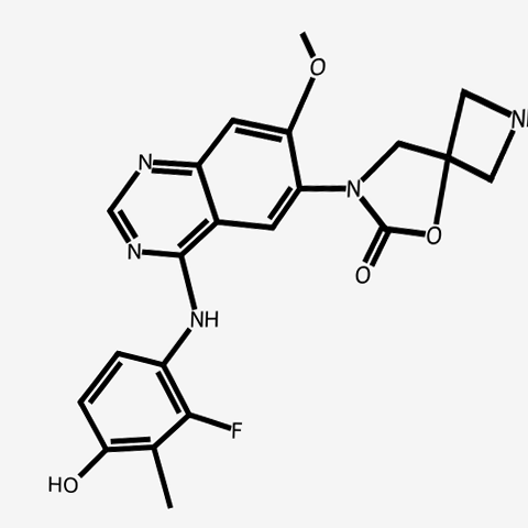 COc1cc2ncnc(Nc3ccc(O)c(C)c3F)c2cc1N1CC2(CNC2)OC1=O